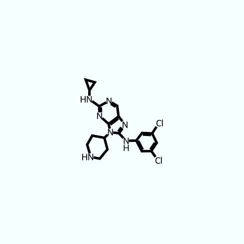 Clc1cc(Cl)cc(Nc2nc3cnc(NC4CC4)nc3n2C2CCNCC2)c1